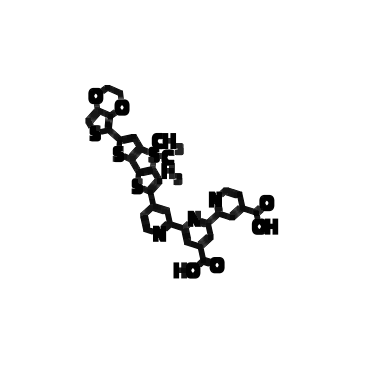 CS1(C)c2cc(-c3ccnc(-c4cc(C(=O)O)cc(-c5cc(C(=O)O)ccn5)n4)c3)sc2-c2sc(-c3scc4c3OCCO4)cc21